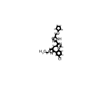 CCn1cc2c(n1)-c1cc(Cl)ccc1-n1cnc(C3=NOC(COC4CCCC4)N3)c1C2